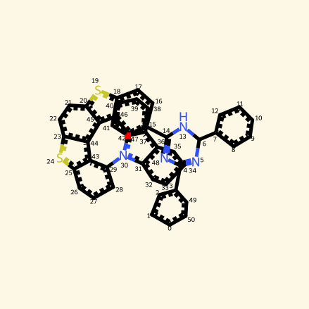 c1ccc(C2=NC(c3ccccc3)NC(c3ccc4sc5ccc6sc7cccc(-n8c9ccccc9c9ccccc98)c7c6c5c4c3)=N2)cc1